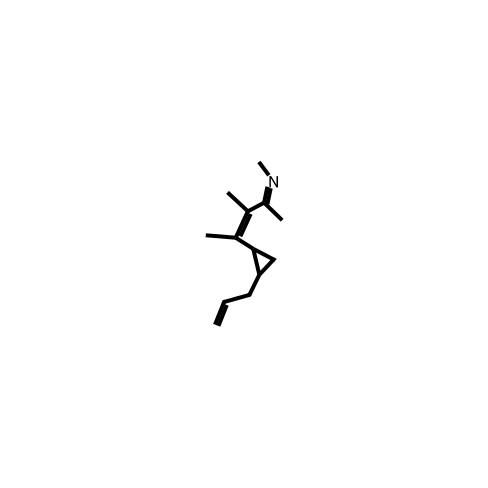 C=CCC1CC1/C(C)=C(C)\C(C)=N/C